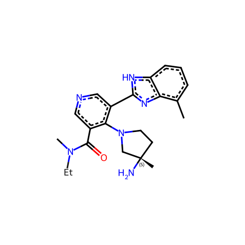 CCN(C)C(=O)c1cncc(-c2nc3c(C)cccc3[nH]2)c1N1CC[C@](C)(N)C1